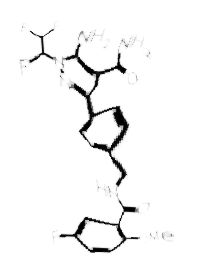 COc1ccc(F)cc1C(=O)NCc1ccc(-c2nn(C(F)C(F)F)c(N)c2C(N)=O)cc1